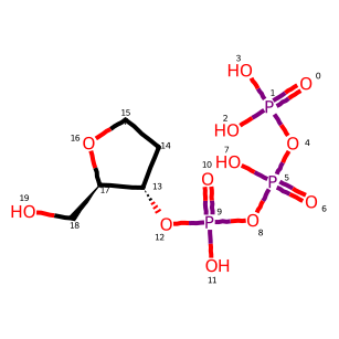 O=P(O)(O)OP(=O)(O)OP(=O)(O)O[C@H]1C[CH]O[C@@H]1CO